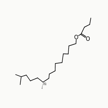 CCCC(=O)OCCCCCCCCC[C@H](C)CCCC(C)C